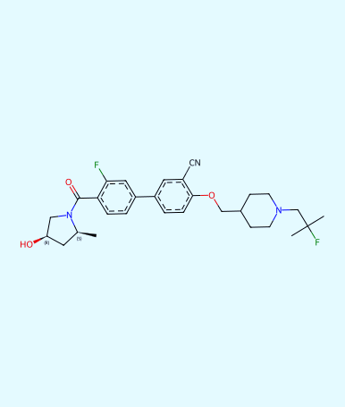 C[C@H]1C[C@@H](O)CN1C(=O)c1ccc(-c2ccc(OCC3CCN(CC(C)(C)F)CC3)c(C#N)c2)cc1F